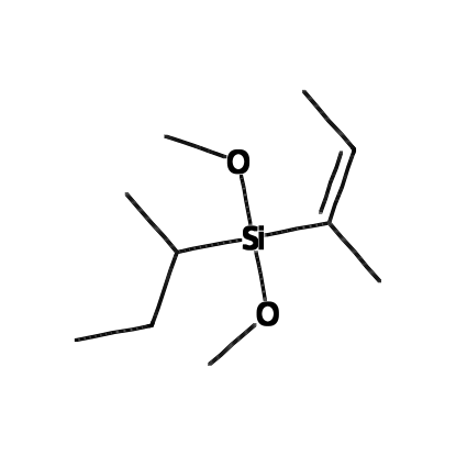 CC=C(C)[Si](OC)(OC)C(C)CC